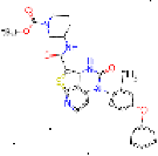 Cc1cc(Oc2ccccc2)ccc1N1C(=O)Nc2c(C(=O)NC3CCCN(C(=O)OC(C)(C)C)C3)sc3nccc1c23